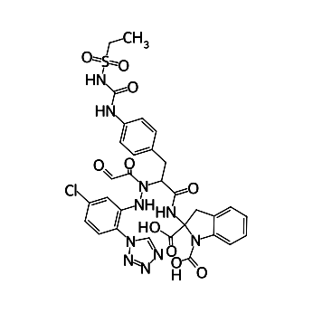 CCS(=O)(=O)NC(=O)Nc1ccc(CC(C(=O)NC2(C(=O)O)Cc3ccccc3N2C(=O)O)N(Nc2cc(Cl)ccc2-n2cnnn2)C(=O)C=O)cc1